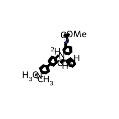 [2H]C(c1ccc(-c2ccc(N(C)C)cc2)cc1)N(C(=O)[C@@H]1C[C@@H]2CC[C@H]1C2)c1cccc(/C=C/C(=O)OC)c1